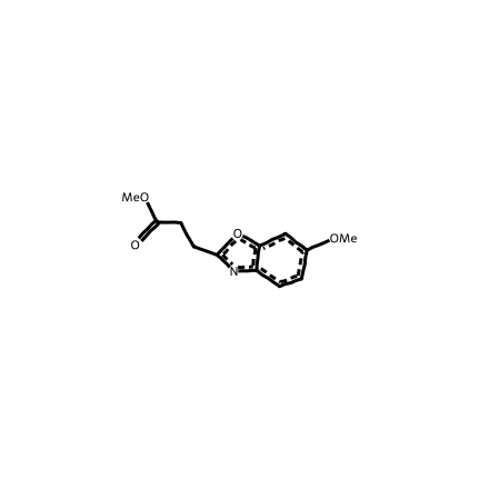 COC(=O)CCc1nc2ccc(OC)cc2o1